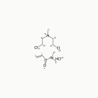 C=CC(=O)N(C)C.CN(CCCl)CCCl.Cl